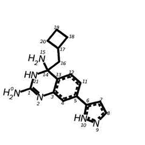 NC1=Nc2cc(-c3ccn[nH]3)ccc2C(N)(CC2CCC2)N1